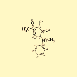 CN(C(=O)C(=O)C(F)S(C)(=O)=O)c1ccccc1